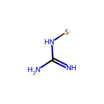 N=C(N)N[S]